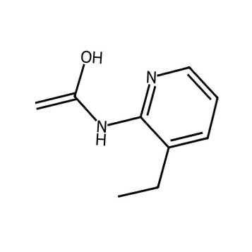 C=C(O)Nc1ncccc1CC